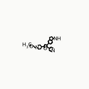 COCCN1CCC(c2cc(-c3ccc4c(c3)CCC4=N)c(-c3ccncc3)o2)CC1